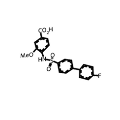 COc1cc(C(=O)O)ccc1NS(=O)(=O)c1ccc(-c2ccc(F)cc2)cc1